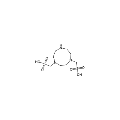 O=S(=O)(O)CN1CCNCCN(CS(=O)(=O)O)CC1